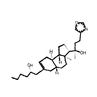 CCCC[C@H](O)CC1=CC[C@@H]2[C@H](CC[C@@]3(C)[C@H]2CC[C@@H]3[C@](C)(O)CCc2cocn2)C1